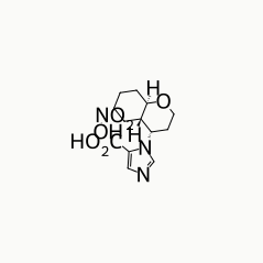 O=C(O)c1cncn1[C@H]1CCO[C@@H]2CCCC[C@H]21.O=[N+]([O-])O